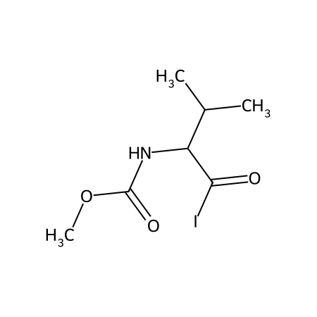 COC(=O)NC(C(=O)I)C(C)C